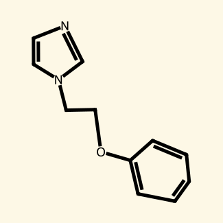 c1ccc(OCCn2ccnc2)cc1